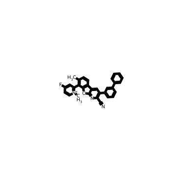 Cc1ccc2c(oc3nc(C#N)c(-c4cccc(-c5ccccc5)c4)cc32)c1-c1cc(F)cc[n+]1C